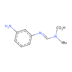 CC(C)(C)N(C=Nc1cccc(N)c1)C(=O)O